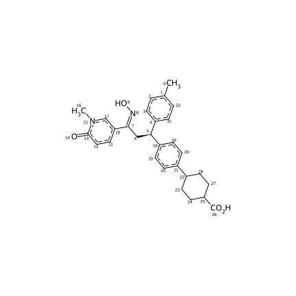 Cc1ccc([C@H](C/C(=N/O)c2ccc(=O)n(C)c2)c2ccc(C3CCC(C(=O)O)CC3)cc2)cc1